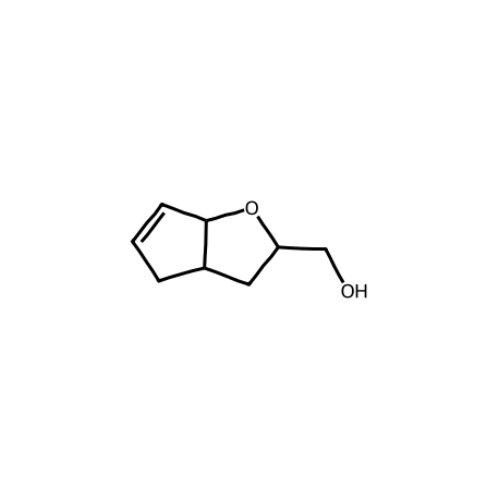 OCC1CC2CC=CC2O1